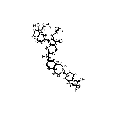 C=CCn1c(=O)c2cnc(Nc3ccc4c(c3)CCN(C3CCN(C(=O)C(F)(F)F)CC3)CC4)nc2n1-c1ccc2c(n1)[C@@](O)(CC)CC2